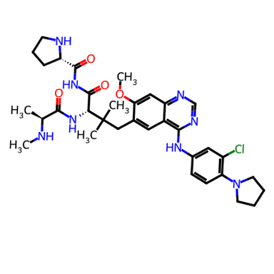 CN[C@@H](C)C(=O)N[C@H](C(=O)NC(=O)[C@@H]1CCCN1)C(C)(C)Cc1cc2c(Nc3ccc(N4CCCC4)c(Cl)c3)ncnc2cc1OC